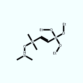 CCO[Si](C=C[Si](C)(C)O[SiH](C)C)(OCC)OCC